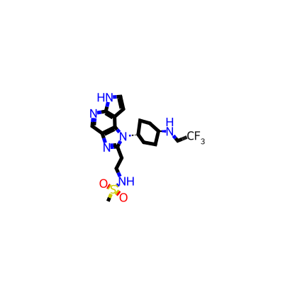 CS(=O)(=O)NCCc1nc2cnc3[nH]ccc3c2n1[C@H]1CC[C@H](NCC(F)(F)F)CC1